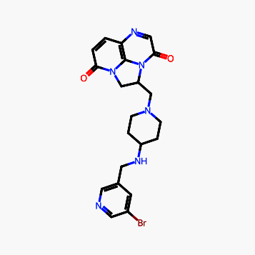 O=c1ccc2ncc(=O)n3c2n1CC3CN1CCC(NCc2cncc(Br)c2)CC1